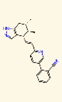 C[C@H]1[C@H](/C=C/c2ccc(-c3ccccc3C#N)cn2)c2cn[nH]c2C[C@@H]1C